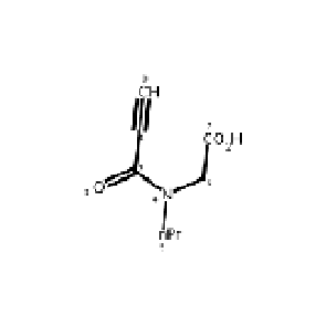 C#CC(=O)N(CCC)CC(=O)O